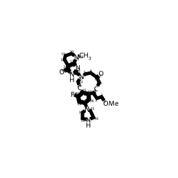 COCCC1CCC(=O)CCN(c2nc3c(c(=O)[nH]2)CCCN3C)CCc2c(F)cc(N3CCNCC3)cc21